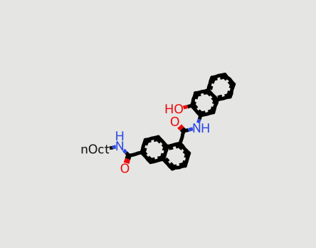 CCCCCCCCNC(=O)c1ccc2c(C(=O)Nc3cc4ccccc4cc3O)cccc2c1